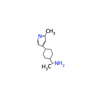 Cc1cc(C2CCC(C(C)N)CC2)ccn1